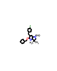 CC1(C)CN(C=O)c2cc(Cc3ccc(F)cc3)c(OCc3ccccc3)nc21